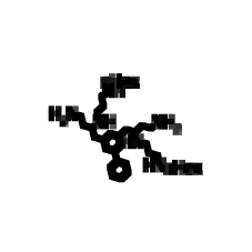 CCCCCCNCCCNC(CCN)Cc1cc(CC(CCN)NCCCNCCCCCC)cc(-c2ccccc2)c1